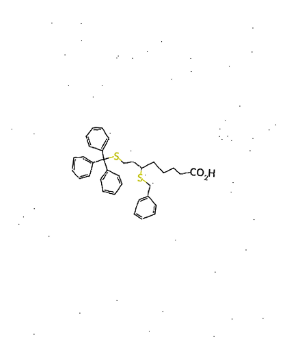 O=C(O)CCCCC(CCSC(c1ccccc1)(c1ccccc1)c1ccccc1)SCc1ccccc1